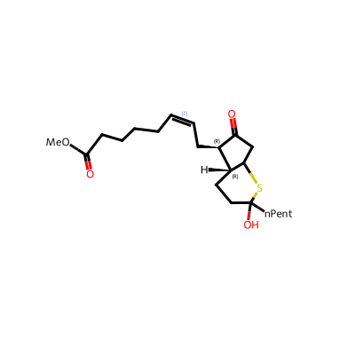 CCCCCC1(O)CC[C@H]2C(CC(=O)[C@@H]2C/C=C\CCCCC(=O)OC)S1